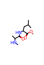 CNC(C)C(=O)NC(CC(C)C)C(=O)OC